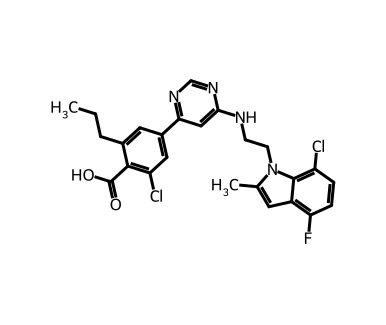 CCCc1cc(-c2cc(NCCn3c(C)cc4c(F)ccc(Cl)c43)ncn2)cc(Cl)c1C(=O)O